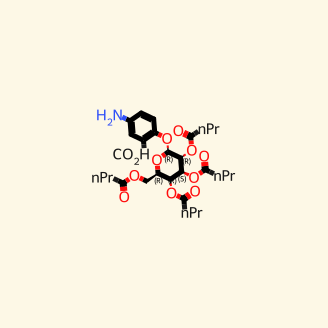 CCCC(=O)OC[C@H]1O[C@H](Oc2ccc(N)cc2C(=O)O)[C@H](OC(=O)CCC)[C@@H](OC(=O)CCC)[C@@H]1OC(=O)CCC